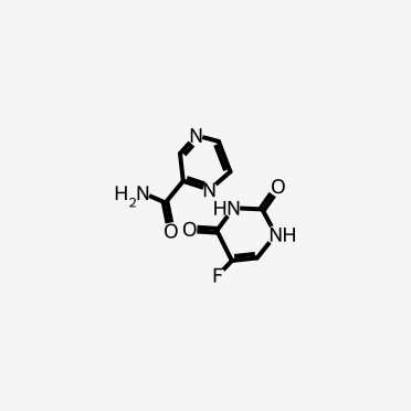 NC(=O)c1cnccn1.O=c1[nH]cc(F)c(=O)[nH]1